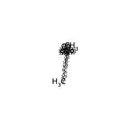 CCCCCCCCCCCCCCCCn1c(-c2ccccc2)c(OC)c(=O)c2ccccc21